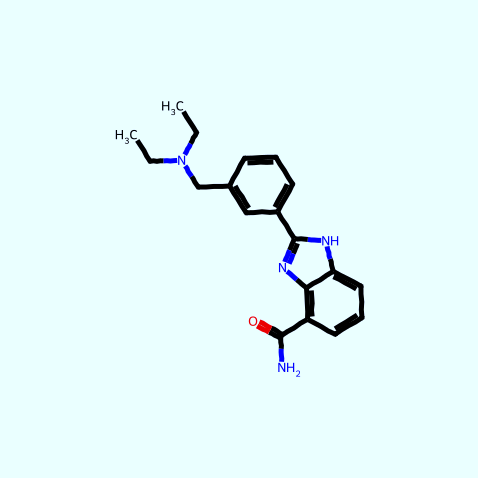 CCN(CC)Cc1cccc(-c2nc3c(C(N)=O)cccc3[nH]2)c1